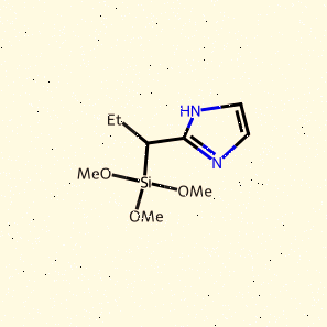 CCC(c1ncc[nH]1)[Si](OC)(OC)OC